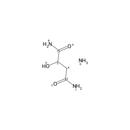 N.NC(=O)CC(O)C(N)=O